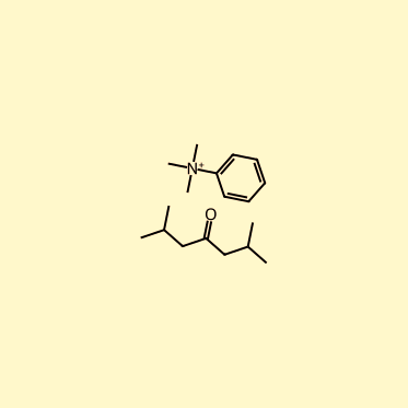 CC(C)CC(=O)CC(C)C.C[N+](C)(C)c1ccccc1